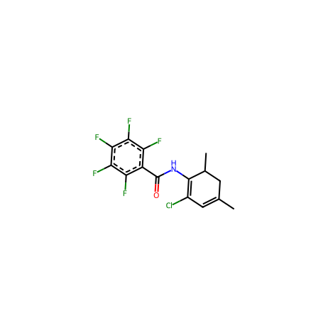 CC1=CC(Cl)=C(NC(=O)c2c(F)c(F)c(F)c(F)c2F)C(C)C1